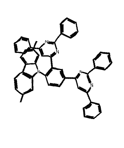 Cc1ccc2c3ccc(C)cc3n(-c3ccc(-c4cc(-c5ccccc5)nc(-c5ccccc5)n4)cc3-c3cc(-c4ccccc4)nc(-c4ccccc4)n3)c2c1